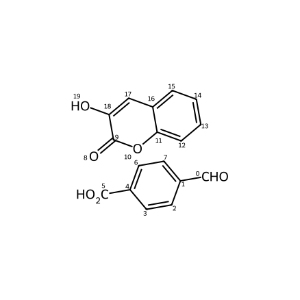 O=Cc1ccc(C(=O)O)cc1.O=c1oc2ccccc2cc1O